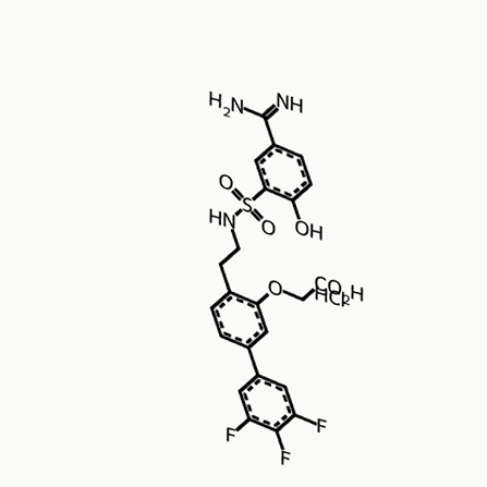 Cl.N=C(N)c1ccc(O)c(S(=O)(=O)NCCc2ccc(-c3cc(F)c(F)c(F)c3)cc2OCC(=O)O)c1